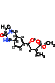 COC(=O)C(C)CC(=O)c1ccc2c(c1)CN(C)C(=O)N2